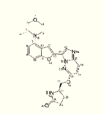 C[C@@H]1COCCN1c1cccc2oc(-c3cnc4ccc(OC[C@H]5CCC(=O)N5)nn34)cc12